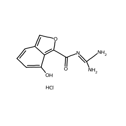 Cl.NC(N)=NC(=O)c1occ2cccc(O)c12